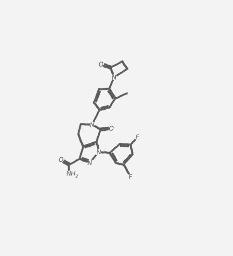 Cc1cc(N2CCc3c(C(N)=O)nn(-c4cc(F)cc(F)c4)c3C2=O)ccc1N1CCC1=O